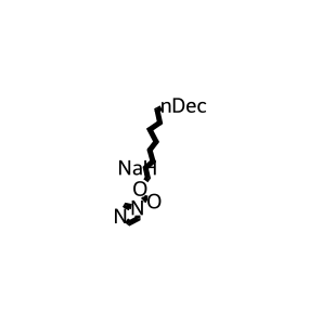 CCCCCCCCCCCCCCCCCCOC(=O)N1C=NCC1.[NaH]